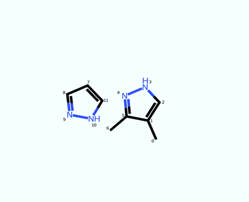 Cc1c[nH]nc1C.c1cn[nH]c1